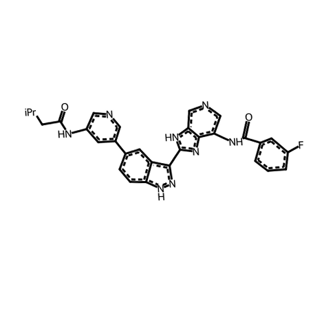 CC(C)CC(=O)Nc1cncc(-c2ccc3[nH]nc(-c4nc5c(NC(=O)c6cccc(F)c6)cncc5[nH]4)c3c2)c1